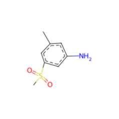 Cc1cc(N)cc(S(C)(=O)=O)c1